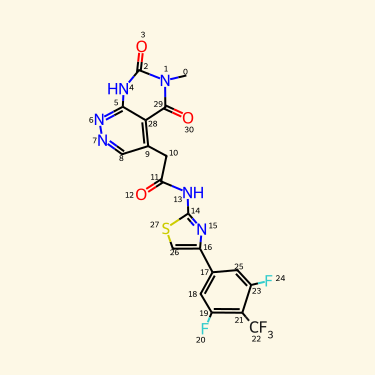 Cn1c(=O)[nH]c2nncc(CC(=O)Nc3nc(-c4cc(F)c(C(F)(F)F)c(F)c4)cs3)c2c1=O